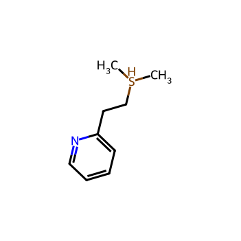 C[SH](C)CCc1ccccn1